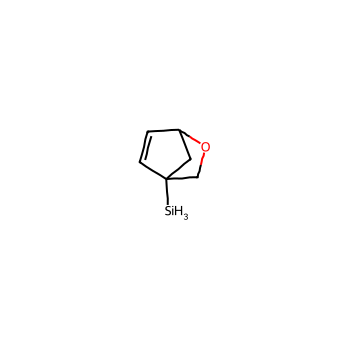 [SiH3]C12C=CC(C1)OC2